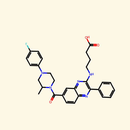 CC1CN(c2ccc(F)cc2)CCN1C(=O)c1ccc2nc(-c3ccccc3)c(NCCCC(=O)O)nc2c1